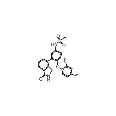 CCS(=O)(=O)Nc1ccc(Oc2ccc(F)cc2F)c(-c2cccc3c2CNC3=O)c1